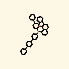 c1ccc(-c2ccc(-c3ccc(N(c4ccc(-c5ccccc5)cc4)c4cccc5ccc6c7ccccc7oc6c45)cc3)cc2)cc1